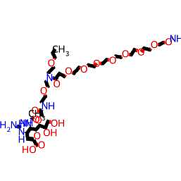 CCCOCCN(CCOCCNC(=O)CO[C@@H]([C@@H]1OC(C(=O)O)=C[C@H](NC(=N)N)[C@H]1NC(C)=O)[C@H](O)CO)C(=O)CCOCCOCCOCCOCCOCCOCCOCCON